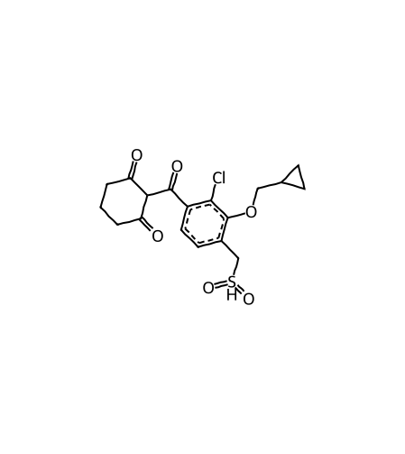 O=C1CCCC(=O)C1C(=O)c1ccc(C[SH](=O)=O)c(OCC2CC2)c1Cl